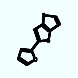 c1coc(-c2cc3sccc3s2)c1